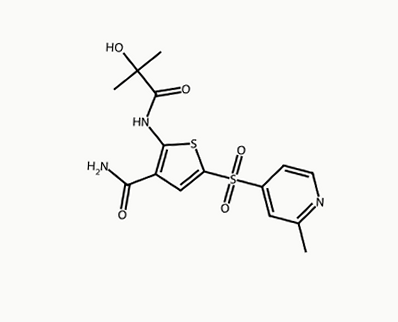 Cc1cc(S(=O)(=O)c2cc(C(N)=O)c(NC(=O)C(C)(C)O)s2)ccn1